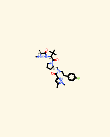 CN[C@@H](C)C(=O)N[C@H](C(=O)N1CCC[C@H]1CN(CCc1ccc(F)cc1)C(=O)c1cc(C)n(C)n1)C(C)(C)C